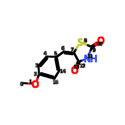 COc1ccc(C=C2SC(=O)NC2=O)cc1